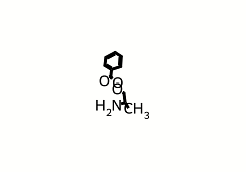 CC(N)COOC(=O)c1ccccc1